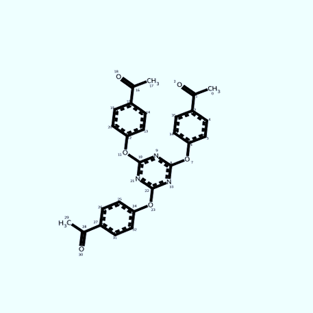 CC(=O)c1ccc(Oc2nc(Oc3ccc(C(C)=O)cc3)nc(Oc3ccc(C(C)=O)cc3)n2)cc1